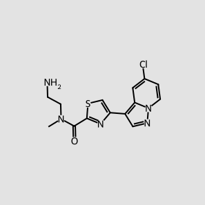 CN(CCN)C(=O)c1nc(-c2cnn3ccc(Cl)cc23)cs1